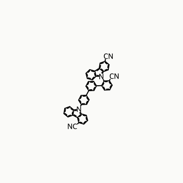 N#Cc1ccc2c(c1)c1ccccc1n2-c1c(C#N)cccc1-c1cccc(-c2ccc(-n3c4ccccc4c4c(C#N)cccc43)cc2)c1